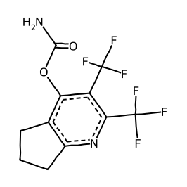 NC(=O)Oc1c2c(nc(C(F)(F)F)c1C(F)(F)F)CCC2